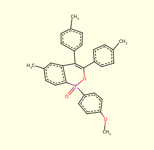 COc1ccc(P2(=O)OC(c3ccc(C)cc3)=C(c3ccc(C)cc3)c3cc(C)ccc32)cc1